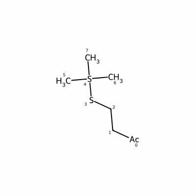 CC(=O)CCSS(C)(C)C